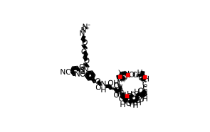 C=C1C[C@@H]2CC[C@@]34C[C@H]5O[C@@H]6C(O[C@H]7CC[C@H](CC(=O)C[C@H]8C(C[C@H]9O[C@@H](CC[C@@H]1O2)C[C@@H](C)C9=C)O[C@H](C[C@H](O)CNC(=O)OCc1ccc(N(CCOCCOCCOCCN=[N+]=[N-])S(=O)(=O)c2ccc(C#N)cn2)cc1)[C@@H]8OC)O[C@@H]7[C@@H]6O3)[C@@H]5O4